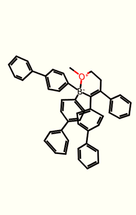 C[O+]1CCC(c2ccccc2)=C(c2ccc(-c3ccccc3)cc2)[B-]1(c1ccc(-c2ccccc2)cc1)c1ccc(-c2ccccc2)cc1